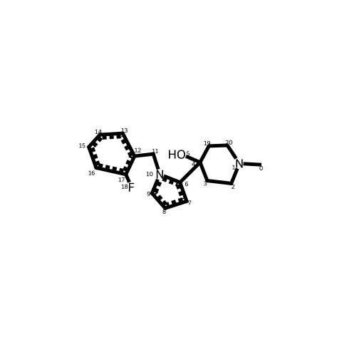 CN1CCC(O)(c2cccn2Cc2ccccc2F)CC1